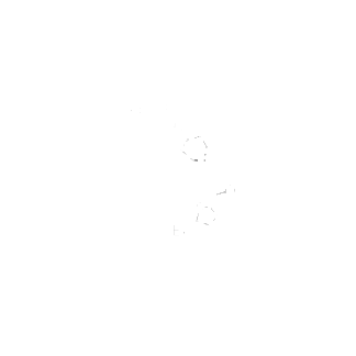 CCc1sc(C(=O)CCc2cc(C)c(OCC(O)CO)c(C)c2)c2c1CC(C)(C)CC2